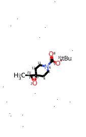 C[C@@H]1OC12CCN(C(=O)OC(C)(C)C)CC2